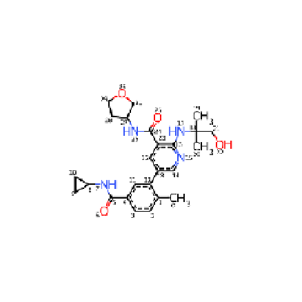 Cc1ccc(C(=O)NC2CC2)cc1-c1cnc(NC(C)(C)CO)c(C(=O)NC2CCOC2)c1